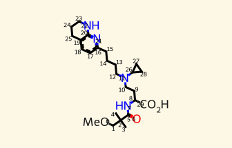 COCC(C)(C)C(=O)NC(CCN(CCCCc1ccc2c(n1)NCCC2)C1CC1)C(=O)O